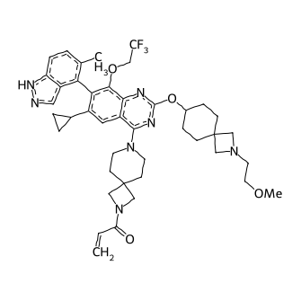 C=CC(=O)N1CC2(CCN(c3nc(OC4CCC5(CC4)CN(CCOC)C5)nc4c(OCC(F)(F)F)c(-c5c(C)ccc6[nH]ncc56)c(C5CC5)cc34)CC2)C1